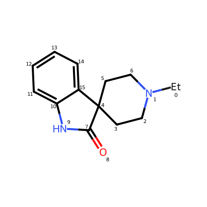 CCN1CCC2(CC1)C(=O)Nc1ccccc12